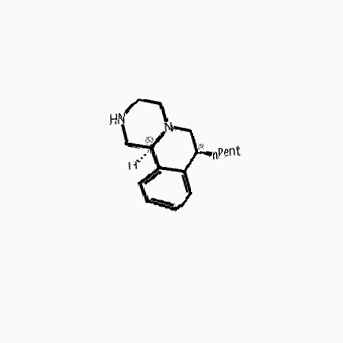 CCCCC[C@@H]1CN2CCNC[C@@H]2c2ccccc21